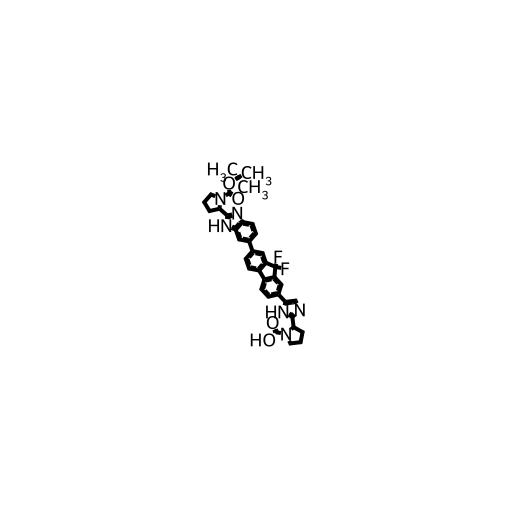 CC(C)(C)OC(=O)N1CCCC1c1nc2ccc(-c3ccc4c(c3)C(F)(F)c3cc(-c5cnc(C6CCCN6C(=O)O)[nH]5)ccc3-4)cc2[nH]1